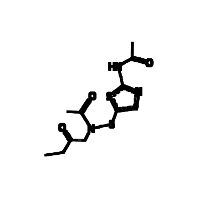 CCC(=O)CN(Sc1cnc(NC(C)=O)s1)C(C)=O